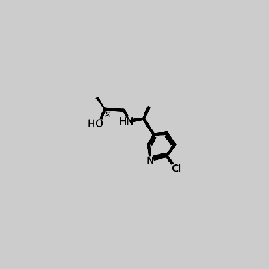 CC(NC[C@H](C)O)c1ccc(Cl)nc1